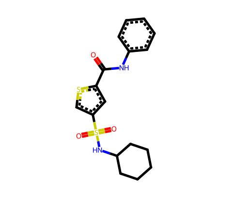 O=C(Nc1ccccc1)c1cc(S(=O)(=O)NC2CCCCC2)cs1